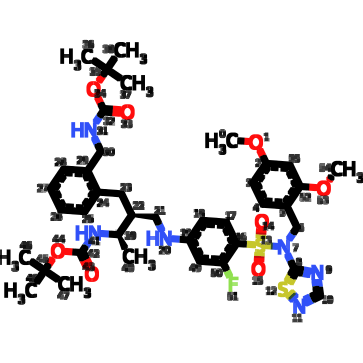 COc1ccc(CN(c2ncns2)S(=O)(=O)c2ccc(NC[C@H](Cc3ccccc3CNC(=O)OC(C)(C)C)[C@@H](C)NC(=O)OC(C)(C)C)cc2F)c(OC)c1